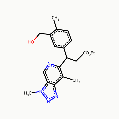 CCOC(=O)CC(c1ccc(C)c(CO)c1)c1ncc2c(nnn2C)c1C